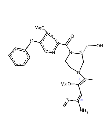 C=N/C(N)=C\C(OC)=C(/C)N1CCN(C(=O)c2cc(OC)c(Oc3ccccc3)cn2)[C@H](CO)C1